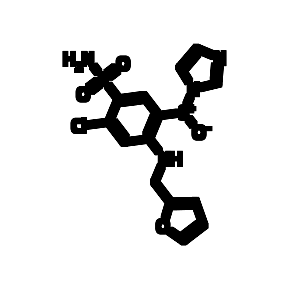 NS(=O)(=O)c1cc([S+]([O-])n2ccnc2)c(NCc2ccco2)cc1Cl